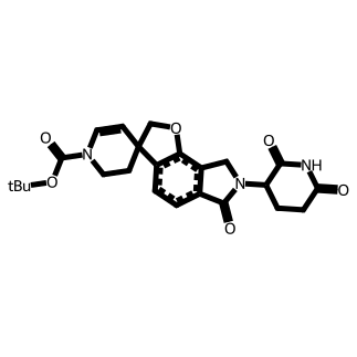 CC(C)(C)OC(=O)N1C=CC2(CC1)COc1c2ccc2c1CN(C1CCC(=O)NC1=O)C2=O